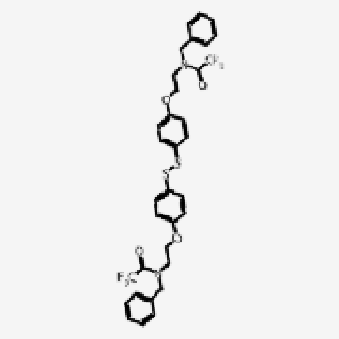 O=C(N(CCOc1ccc(SSc2ccc(OCCN(Cc3ccccc3)C(=O)C(F)(F)F)cc2)cc1)Cc1ccccc1)C(F)(F)F